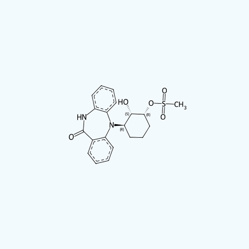 CS(=O)(=O)O[C@@H]1CCC[C@@H](N2c3ccccc3NC(=O)c3ccccc32)[C@@H]1O